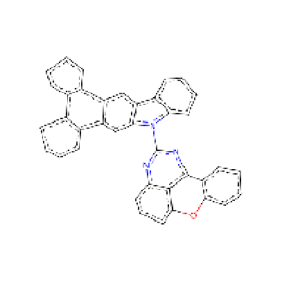 c1ccc2c(c1)Oc1cccc3nc(-n4c5ccccc5c5cc6c7ccccc7c7ccccc7c6cc54)nc-2c13